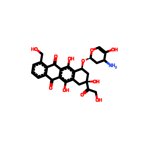 NC1C[C@H](O[C@H]2C[C@](O)(C(=O)CO)Cc3c(O)c4c(c(O)c32)C(=O)c2c(CO)cccc2C4=O)OC=C1O